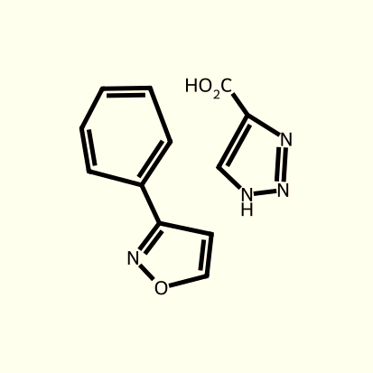 O=C(O)c1c[nH]nn1.c1ccc(-c2ccon2)cc1